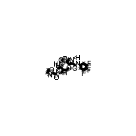 Cn1cc2c(c1C(=O)Nc1cc(F)c(F)c(F)c1)OC[C@H]1CN(C(=O)c3ncco3)C[C@H]1NS2(=O)=O